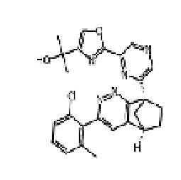 Cc1cccc(Cl)c1-c1cc2c(nn1)[C@@]1(c3cncc(-c4nc(C(C)(C)O)co4)n3)CC[C@@H]2C1